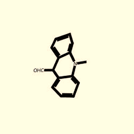 CN1c2ccccc2C(C=O)c2ccccc21